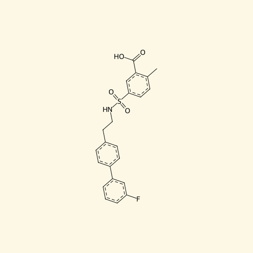 Cc1ccc(S(=O)(=O)NCCc2ccc(-c3cccc(F)c3)cc2)cc1C(=O)O